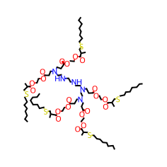 CCCCCCCCSCC(C)C(=O)OCCOC(=O)CCN(CCNCCNCCN(CCC(=O)OCCOC(=O)C(C)CSCCCCCCCC)CCN(CCC(=O)OCCOC(=O)C(C)CSCCCCCCCC)CCC(=O)OCCOC(=O)C(C)CSCCCCCCCC)CCC(=O)OCCOC(=O)C(C)CSCCCCCCCC